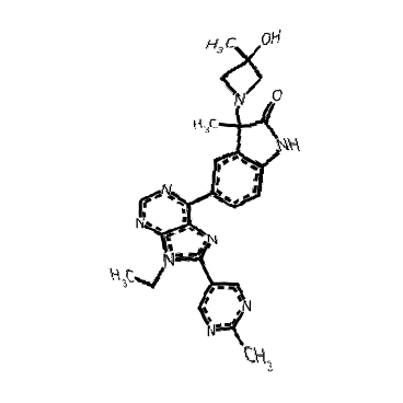 CCn1c(-c2cnc(C)nc2)nc2c(-c3ccc4c(c3)C(C)(N3CC(C)(O)C3)C(=O)N4)ncnc21